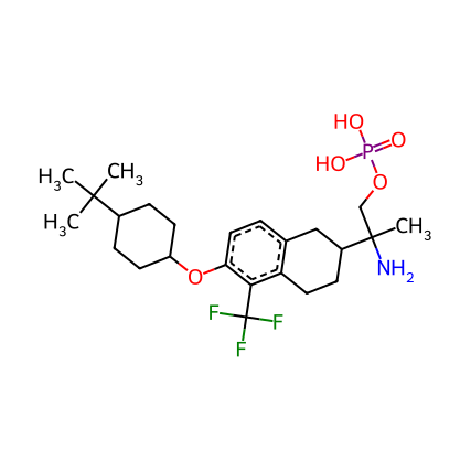 CC(C)(C)C1CCC(Oc2ccc3c(c2C(F)(F)F)CCC(C(C)(N)COP(=O)(O)O)C3)CC1